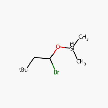 C[SiH](C)OC(Br)CC(C)(C)C